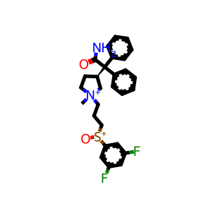 C[N+]1(CCC[S+]([O-])c2cc(F)cc(F)c2)CC[C@@H](C(C(N)=O)(c2ccccc2)c2ccccc2)C1